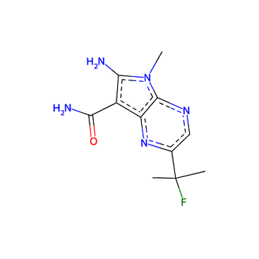 Cn1c(N)c(C(N)=O)c2nc(C(C)(C)F)cnc21